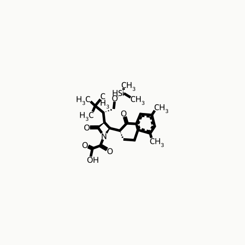 Cc1cc(C)c2c(c1)C(=O)[C@@H]([C@@H]1[C@H]([C@@H](CO[SiH](C)C)C(C)(C)C)C(=O)N1C(=O)C(=O)O)CC2